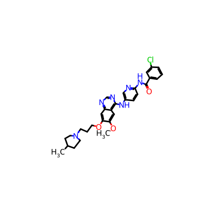 COc1cc2c(Nc3ccc(NC(=O)c4cccc(Cl)c4)nc3)ncnc2cc1OCCCN1CCC(C)CC1